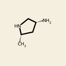 C[C@H]1C[C@@H](N)CN1